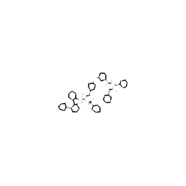 c1ccc(-c2nc(-c3ccccc3)nc(-c3cccc(Sc4ccc(-c5nc(-c6ccccc6)nc(-n6c7ccccc7c7c(-c8ccccc8)cccc76)n5)cc4)c3)n2)cc1